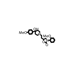 COc1ccc(C2(O)CCN(CCC3CN(c4ccccc4OC)C(=O)O3)CC2)cc1